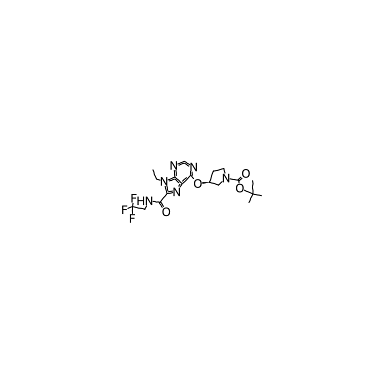 CCn1c(C(=O)NCC(F)(F)F)nc2c(O[C@H]3CCN(C(=O)OC(C)(C)C)C3)ncnc21